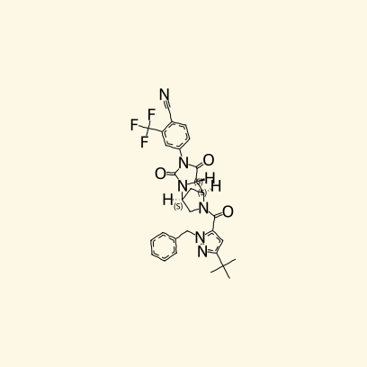 CC(C)(C)c1cc(C(=O)N2C[C@@H]3C[C@H]2[C@H]2C(=O)N(c4ccc(C#N)c(C(F)(F)F)c4)C(=O)N32)n(Cc2ccccc2)n1